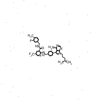 Cc1ccc(CNC(=O)c2cc(C(F)(F)F)cnc2NCc2ccc(-c3cn(CCCN(C)C)c4ncnc(N)c34)cc2)cc1F